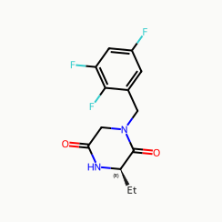 CC[C@H]1NC(=O)CN(Cc2cc(F)cc(F)c2F)C1=O